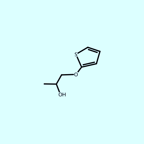 CC(O)COc1cccs1